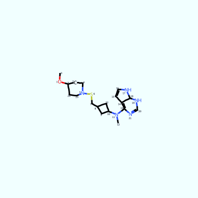 COC1CCN(SCC2CC(N(C)C3=C4C=CNC4NC=N3)C2)CC1